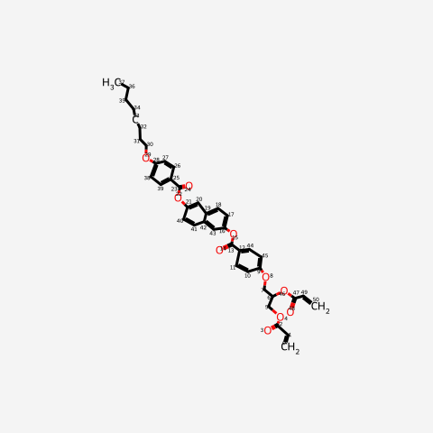 C=CC(=O)OCC(COc1ccc(C(=O)Oc2ccc3cc(OC(=O)c4ccc(OCCCCCCCC)cc4)ccc3c2)cc1)OC(=O)C=C